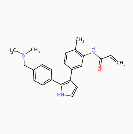 C=CC(=O)Nc1cc(-c2cc[nH]c2-c2ccc(CN(C)C)cc2)ccc1C